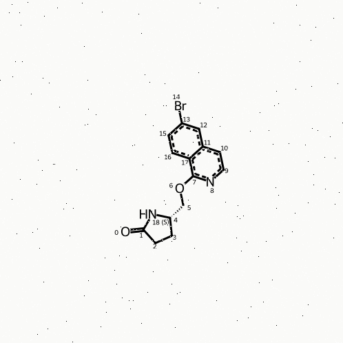 O=C1CC[C@@H](COc2nccc3cc(Br)ccc23)N1